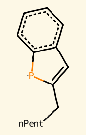 CCCCCCC1=Cc2ccccc2[P]1